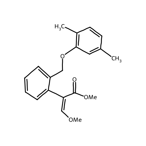 CO/C=C(\C(=O)OC)c1ccccc1COc1cc(C)ccc1C